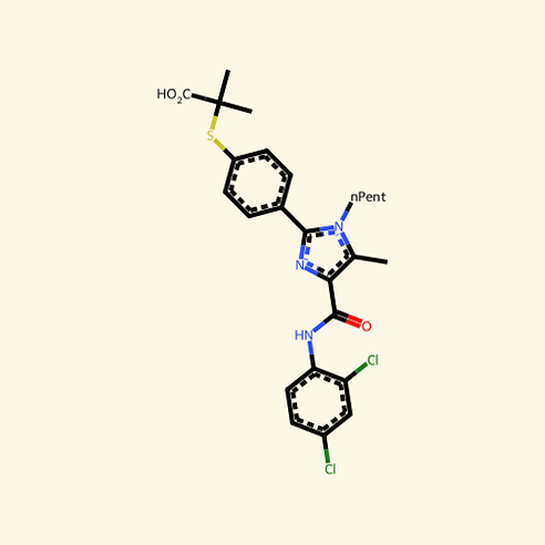 CCCCCn1c(-c2ccc(SC(C)(C)C(=O)O)cc2)nc(C(=O)Nc2ccc(Cl)cc2Cl)c1C